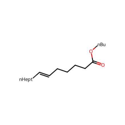 CCCCCCCC=CCCCCC(=O)OCCCC